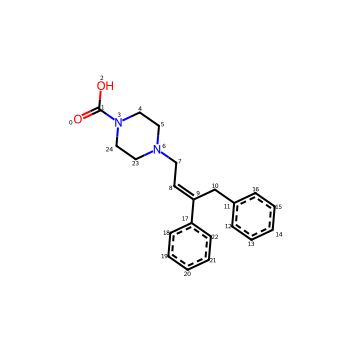 O=C(O)N1CCN(C/C=C(\Cc2ccccc2)c2ccccc2)CC1